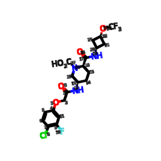 O=C(COc1ccc(Cl)c(F)c1)N[C@H]1CC[C@H](C(=O)N[C@H]2C[C@@H](OC(F)(F)F)C2)N(C(=O)O)C1